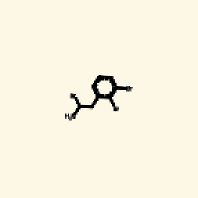 NC(Br)Cc1cccc(Br)c1Br